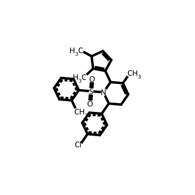 CC1=CCC(c2ccc(Cl)cc2)N(S(=O)(=O)c2ccccc2C)C1C1=C(C)C(C)C=C1